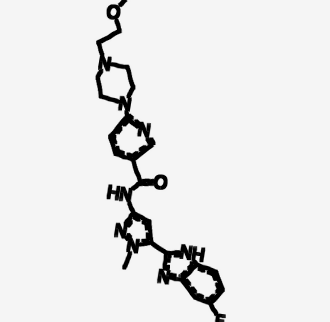 COCCN1CCN(c2ccc(C(=O)Nc3cc(-c4nc5cc(F)ccc5[nH]4)n(C)n3)cn2)CC1